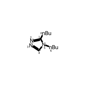 CCCCc1nn[c]n1CCCC